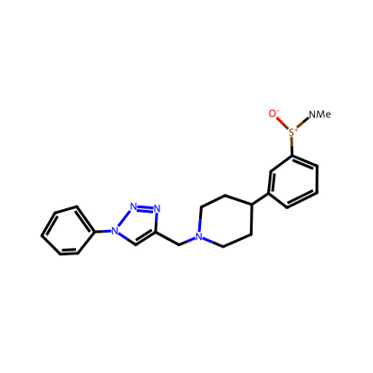 CN[S+]([O-])c1cccc(C2CCN(Cc3cn(-c4ccccc4)nn3)CC2)c1